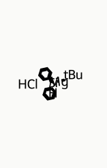 CC(C)(C)[CH2][Mg][SiH](c1ccccc1)c1ccccc1.Cl